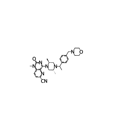 CC(c1ccc(CN2CCOCC2)cc1)N1C[C@H](C)N(c2nc(=O)n(C)c3ccc(C#N)nc23)C[C@H]1C